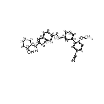 COc1ccc(C#N)cc1-c1cncc(NCc2ccc3nc(NC4CCCC[C@H]4O)sc3c2)n1